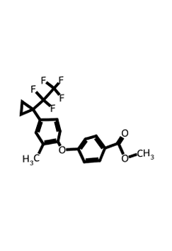 COC(=O)c1ccc(Oc2ccc(C3(C(F)(F)C(F)(F)F)CC3)cc2C)cc1